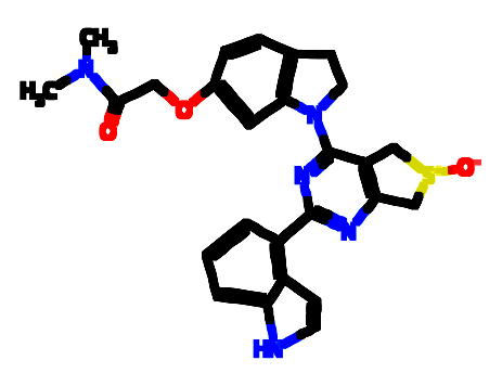 CN(C)C(=O)COc1ccc2c(c1)N(c1nc(-c3cccc4[nH]ccc34)nc3c1C[S+]([O-])C3)CC2